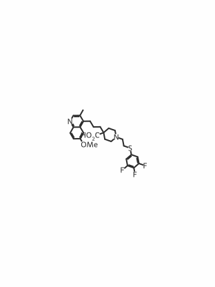 COc1ccc2ncc(C)c(CCCC3(C(=O)O)CCN(CCSc4cc(F)c(F)c(F)c4)CC3)c2c1